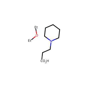 CCOCC.O=C(O)CCN1CCCCC1